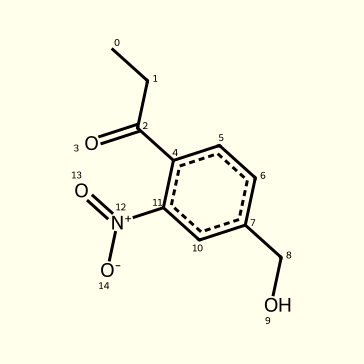 CCC(=O)c1ccc(CO)cc1[N+](=O)[O-]